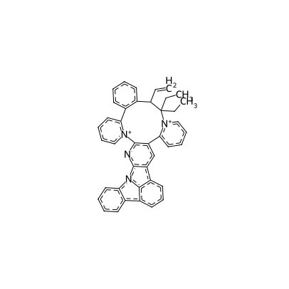 C=CC1c2ccccc2-c2cccc[n+]2-c2nc3c(cc2-c2cccc[n+]2C1(CC)CC)c1cccc2c4ccccc4n3c21